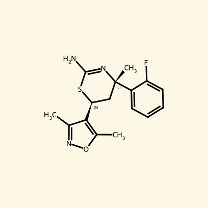 Cc1noc(C)c1[C@@H]1C[C@@](C)(c2ccccc2F)N=C(N)S1